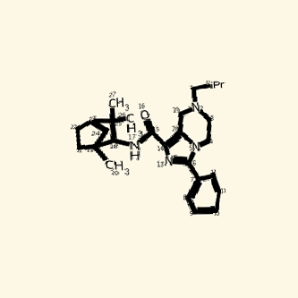 CC(C)CN1CCn2c(-c3ccccc3)nc(C(=O)NC3C4(C)CCC(C4)C3(C)C)c2C1